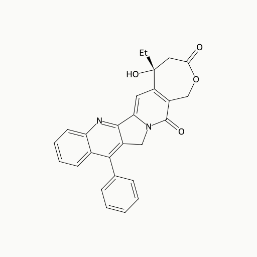 CC[C@@]1(O)CC(=O)OCc2c1cc1n(c2=O)Cc2c-1nc1ccccc1c2-c1ccccc1